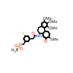 COc1cc2c(c(OC)c1OC)-c1ccc(SC)c(=O)cc1[C@@H](NC(=O)Cc1cc(F)cc(COS(C)(=O)=O)c1)CC2